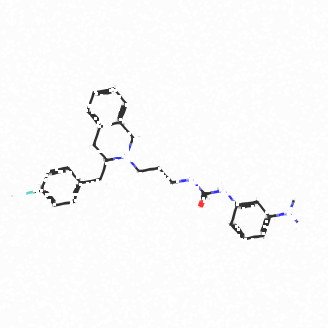 CN(C)c1cccc(NC(=O)NCCCN2Cc3ccccc3CC2Cc2ccc(F)cc2)c1